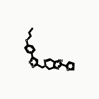 CCCOc1ccc(-c2cc(CN3Cc4nc(-c5ccco5)[nH]c4C=N3)on2)cc1